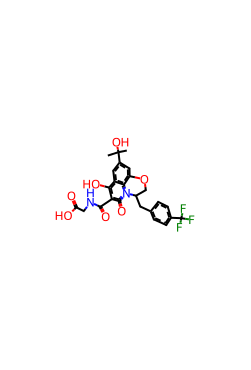 CC(C)(O)c1cc2c3c(c1)c(O)c(C(=O)NCC(=O)O)c(=O)n3C(Cc1ccc(C(F)(F)F)cc1)CO2